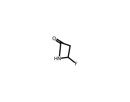 O=C1CC(F)N1